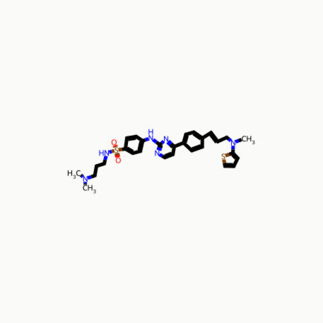 CN(C)CCCNS(=O)(=O)c1ccc(Nc2nccc(-c3ccc(C=CCN(C)c4cccs4)cc3)n2)cc1